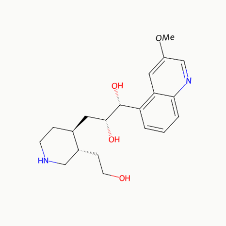 COc1cnc2cccc([C@@H](O)[C@H](O)C[C@@H]3CCNC[C@H]3CCO)c2c1